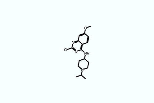 COc1ccc2c(NC3CCN(C(C)C)CC3)nc(Cl)nc2c1